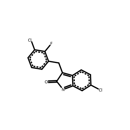 O=C1N=c2cc(Cl)ccc2=C1Cc1cccc(Cl)c1F